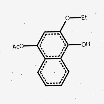 CCOc1cc(OC(C)=O)c2ccccc2c1O